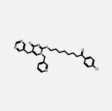 O=C(CCCCCCCSc1nc(=O)c(Cc2cncnc2)cn1Cc1cccnc1)c1ccc(Cl)cc1